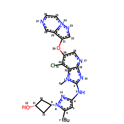 Cn1c(Nc2cc(C(C)(C)C)n([C@H]3C[C@@H](O)C3)n2)nc2ncc(Oc3cnn4ccncc34)c(Cl)c21